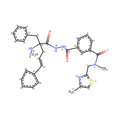 Cc1csc(CN(C)C(=O)c2cccc(C(=O)NNC(=O)C(CC=Cc3ccccc3)(Cc3ccccc3)NC(=O)O)c2)n1